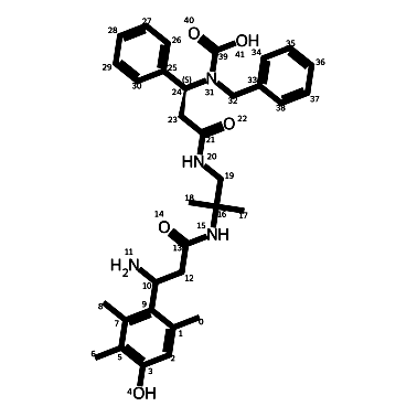 Cc1cc(O)c(C)c(C)c1C(N)CC(=O)NC(C)(C)CNC(=O)C[C@@H](c1ccccc1)N(Cc1ccccc1)C(=O)O